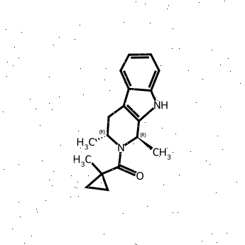 C[C@@H]1Cc2c([nH]c3ccccc23)[C@@H](C)N1C(=O)C1(C)CC1